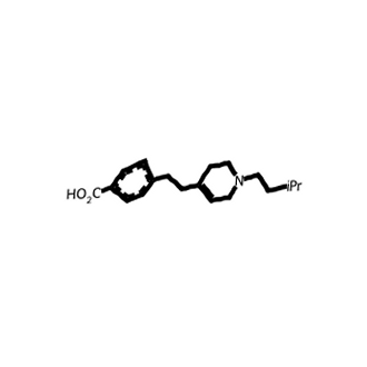 CC(C)CCN1CC=C(CCc2ccc(C(=O)O)cc2)CC1